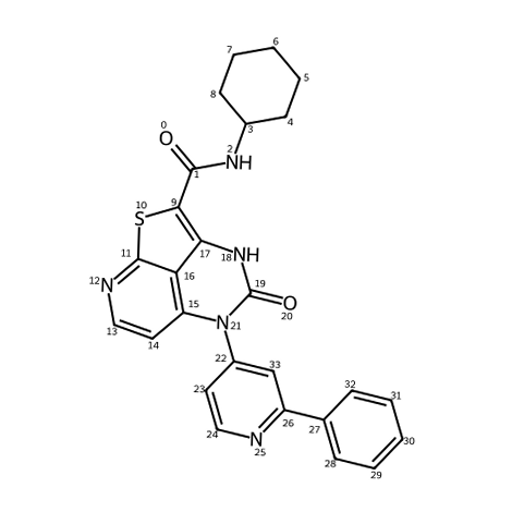 O=C(NC1CCCCC1)c1sc2nccc3c2c1NC(=O)N3c1ccnc(-c2ccccc2)c1